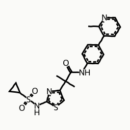 Cc1ncccc1-c1ccc(NC(=O)C(C)(C)c2csc(NS(=O)(=O)C3CC3)n2)cc1